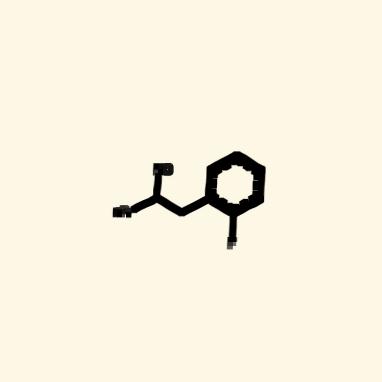 CCCC(Cc1ccccc1F)N=O